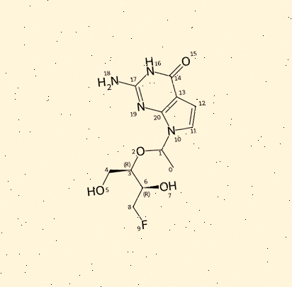 CC(O[C@H](CO)[C@@H](O)CF)n1ccc2c(=O)[nH]c(N)nc21